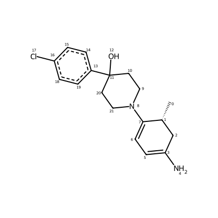 C[C@@H]1CC(N)=CC=C1N1CCC(O)(c2ccc(Cl)cc2)CC1